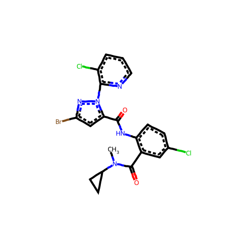 CN(C(=O)c1cc(Cl)ccc1NC(=O)c1cc(Br)nn1-c1ncccc1Cl)C1CC1